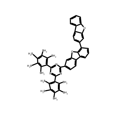 Bc1c(B)c(B)c(-c2nc(-c3ccc4c(c3)oc3c(-c5ccc6c(c5)oc5ccccc56)cccc34)nc(-c3c(B)c(B)c(B)c(B)c3B)n2)c(B)c1B